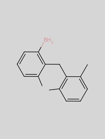 Bc1cccc(C)c1Cc1c(C)cccc1C